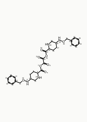 O=C(OC(=O)C1CCC(NOCc2ccccc2)CN1)C(=O)OC(=O)C1CCC(NOCc2ccccc2)CN1